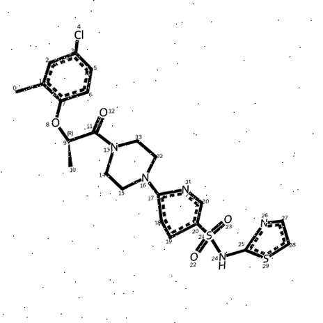 Cc1cc(Cl)ccc1O[C@H](C)C(=O)N1CCN(c2ccc(S(=O)(=O)Nc3nccs3)cn2)CC1